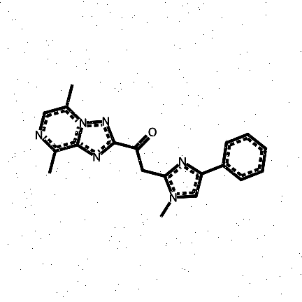 Cc1ncc(C)n2nc(C(=O)Cc3nc(-c4ccccc4)cn3C)nc12